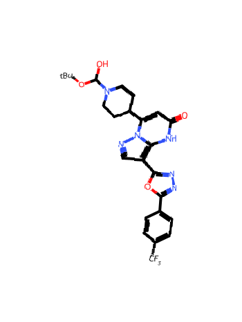 CC(C)(C)OC(O)N1CCC(c2cc(=O)[nH]c3c(-c4nnc(-c5ccc(C(F)(F)F)cc5)o4)cnn23)CC1